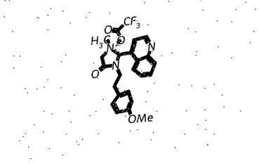 COc1ccc(CCN2C(=O)C[N+](C)(OC(=O)C(F)(F)F)C2c2ccnc3ccccc23)cc1